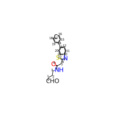 O=CCCCNC(=O)Cc1nc2ccc(-c3ccccc3)cc2s1